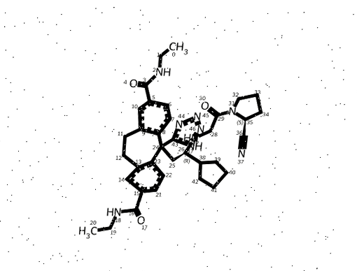 CCNC(=O)c1ccc2c(c1)CCc1cc(C(=O)NCC)ccc1C2(C[C@@H](NCC(=O)N1CCC[C@H]1C#N)C1CCCC1)c1nnn[nH]1